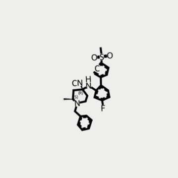 C[C@H]1C[C@](C#N)(Nc2cc(F)ccc2-c2ccc(S(C)(=O)=O)cc2)CCN1Cc1ccccc1